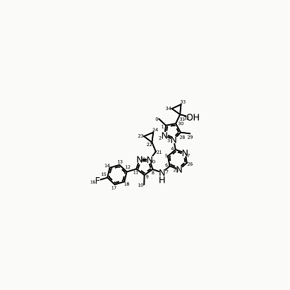 Cc1nn(-c2cc(Nc3c(C)c(-c4ccc(F)cc4)nn3CC3CC3)ncn2)c(C)c1C1(O)CC1